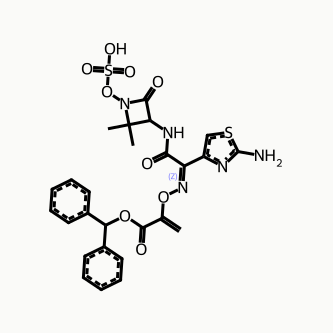 C=C(O/N=C(\C(=O)NC1C(=O)N(OS(=O)(=O)O)C1(C)C)c1csc(N)n1)C(=O)OC(c1ccccc1)c1ccccc1